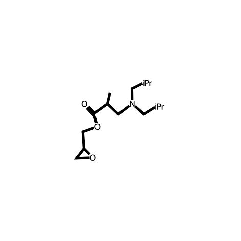 CC(C)CN(CC(C)C)CC(C)C(=O)OCC1CO1